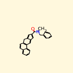 CN(Cc1ccccc1)C(=O)C1=CC2=Cc3c(ccc4ccccc34)CC2=C1